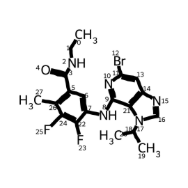 CCNC(=O)c1cc(Nc2nc(Br)cc3ncn(C(C)C)c23)c(F)c(F)c1C